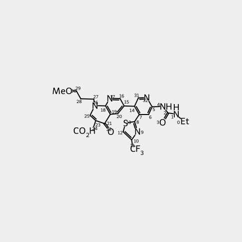 CCNC(=O)Nc1cc(-c2nc(C(F)(F)F)cs2)c(-c2cnc3c(c2)c(=O)c(C(=O)O)cn3CCCOC)cn1